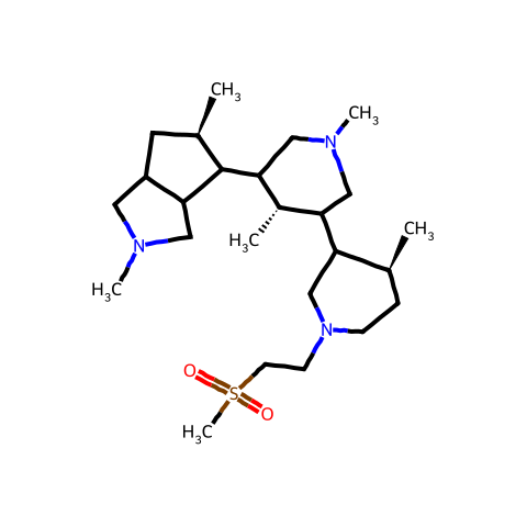 C[C@@H]1C(C2C3CN(C)CC3C[C@H]2C)CN(C)CC1C1CN(CCS(C)(=O)=O)CC[C@@H]1C